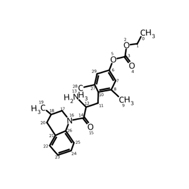 CCOC(=O)Oc1cc(C)c(CC(N)C(=O)N2CC(C)Cc3ccccc32)c(C)c1